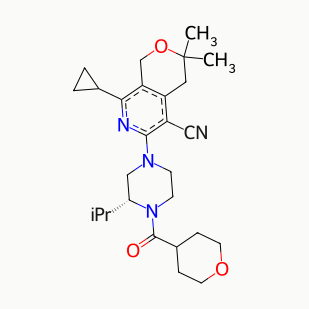 CC(C)[C@@H]1CN(c2nc(C3CC3)c3c(c2C#N)CC(C)(C)OC3)CCN1C(=O)C1CCOCC1